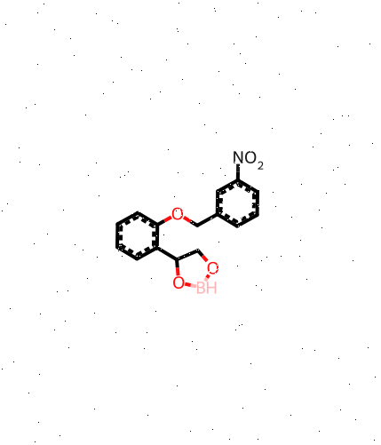 O=[N+]([O-])c1cccc(COc2ccccc2C2COBO2)c1